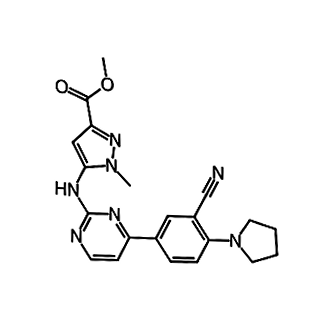 COC(=O)c1cc(Nc2nccc(-c3ccc(N4CCCC4)c(C#N)c3)n2)n(C)n1